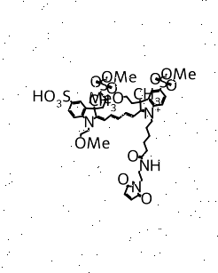 COCCN1/C(=C/C=C/C=C/C2=[N+](CCCCCC(=O)NCCN3C(=O)C=CC3=O)c3ccc(S(=O)(=O)OC)cc3C2(C)CCOC)C(C)(CCCS(=O)(=O)OC)c2cc(S(=O)(=O)O)ccc21